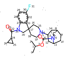 CC(C)OC(=O)N1CC2CCC1CC(N1CCC3(CC1)CN(C(=O)C1CC1)c1ccc(F)cc13)C2